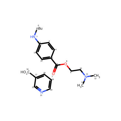 CCCCNc1ccc(C(=O)OCCN(C)C)cc1.O=C(O)c1cccnc1